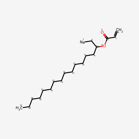 C=CC(=O)OC([CH2][Na])CCCCCCCCCCCCCC